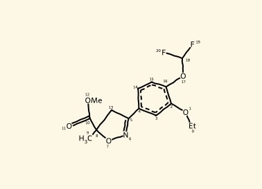 CCOc1cc(C2=NOC(C)(C(=O)OC)C2)ccc1OC(F)F